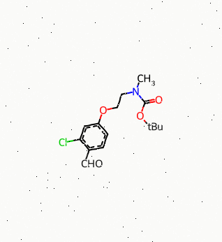 CN(CCOc1ccc(C=O)c(Cl)c1)C(=O)OC(C)(C)C